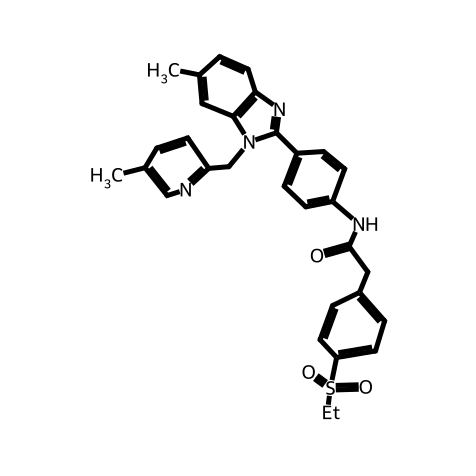 CCS(=O)(=O)c1ccc(CC(=O)Nc2ccc(-c3nc4ccc(C)cc4n3Cc3ccc(C)cn3)cc2)cc1